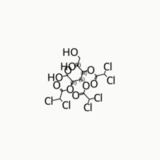 O=C(O[C@@H]([C@H](OC(=O)C(Cl)Cl)[C@@H](OC(=O)C(Cl)Cl)C(=O)O)[C@H](O)CO)C(Cl)Cl